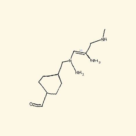 CNC/C(N)=C/N(N)CC1CCC(C=O)CC1